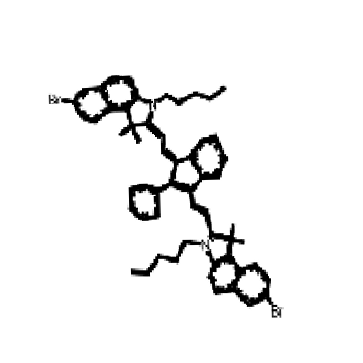 CCCCCN1/C(=C/C=C2C(c3ccccc3)=C(/C=C/C3=[N+](CCCCC)c4ccc5cc(Br)ccc5c4C3(C)C)c3ccccc3/2)C(C)(C)c2c1ccc1cc(Br)ccc21